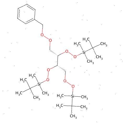 CC(C)(C)[Si](C)(C)OOC[C@H](OO[Si](C)(C)C(C)(C)C)[C@H](COOCc1ccccc1)OO[Si](C)(C)C(C)(C)C